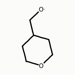 [O]CC1CCOCC1